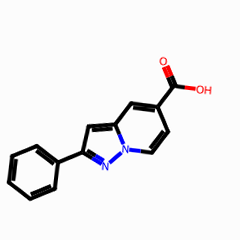 O=C(O)c1ccn2nc(-c3ccccc3)cc2c1